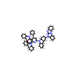 c1ccc(-n2c3ccccc3c3ccccc32)c(-c2cc(-n3c4ccccc4c4ccccc43)nc(-n3c4ccccc4c4cc(-n5c6ccccc6n6c7ccccc7nc56)ccc43)c2)c1